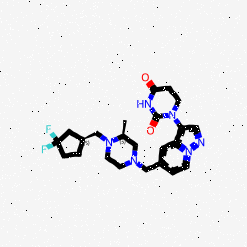 C[C@H]1CN(Cc2ccn3ncc(N4CCC(=O)NC4=O)c3c2)CCN1C[C@H]1CCC(F)(F)C1